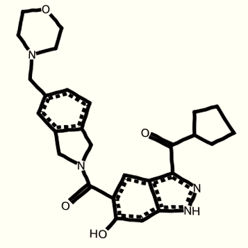 O=C(c1n[nH]c2cc(O)c(C(=O)N3Cc4ccc(CN5CCOCC5)cc4C3)cc12)C1CCCC1